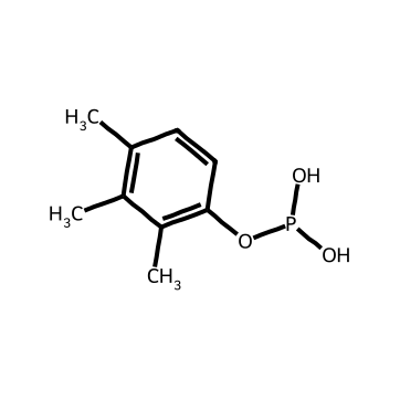 Cc1ccc(OP(O)O)c(C)c1C